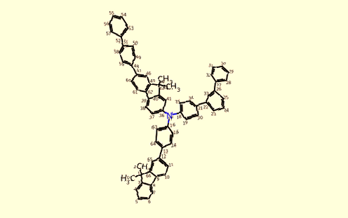 CC1(C)c2ccccc2-c2ccc(-c3ccc(N(c4ccc(-c5cccc(-c6ccccc6)c5)cc4)c4ccc5c(c4)C(C)(C)c4cc(-c6ccc(-c7ccccc7)cc6)ccc4-5)cc3)cc21